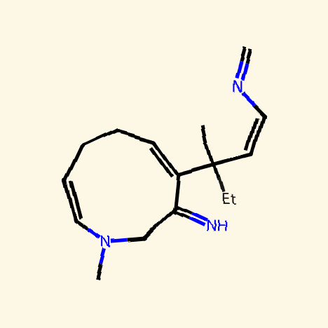 C=N/C=C\C(C)(CC)/C1=C/CCC=CN(C)CC1=N